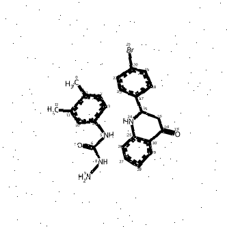 Cc1ccc(NC(=O)NN)cc1C.O=C1CC(c2ccc(Br)cc2)Nc2ccccc21